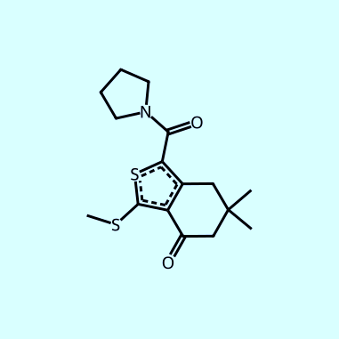 CSc1sc(C(=O)N2CCCC2)c2c1C(=O)CC(C)(C)C2